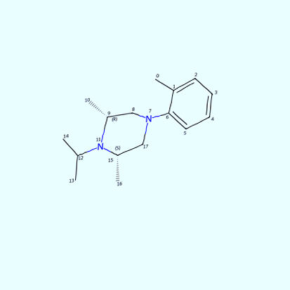 Cc1ccccc1N1C[C@@H](C)N(C(C)C)[C@@H](C)C1